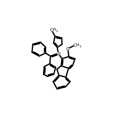 COc1ccc2c([c]1[Zr]([C]1=CC(C)=CC1)=[C](c1ccccc1)c1ccccc1)Cc1ccccc1-2